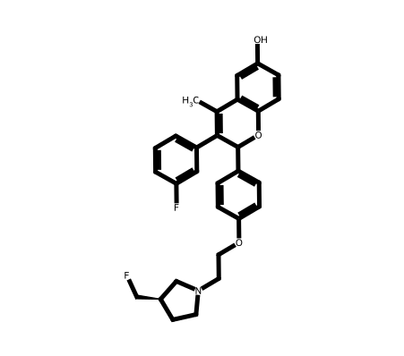 CC1=C(c2cccc(F)c2)C(c2ccc(OCCN3CC[C@@H](CF)C3)cc2)Oc2ccc(O)cc21